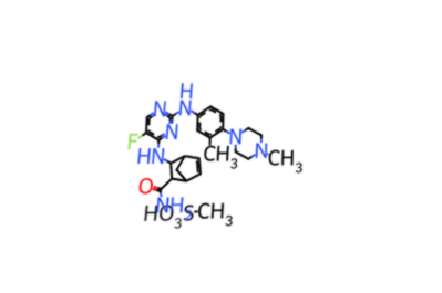 CS(=O)(=O)O.Cc1cc(Nc2ncc(F)c(NC3C4C=CC(C4)C3C(N)=O)n2)ccc1N1CCN(C)CC1